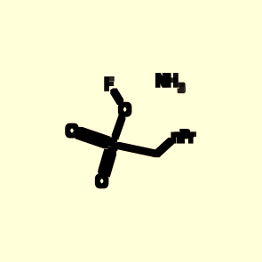 CCCCS(=O)(=O)OF.N